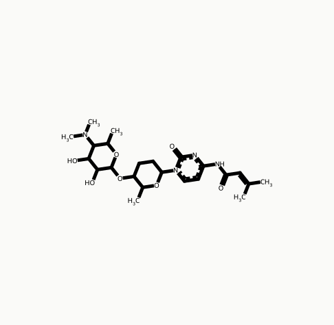 CC(C)=CC(=O)Nc1ccn(C2CCC(OC3OC(C)C(N(C)C)C(O)C3O)C(C)O2)c(=O)n1